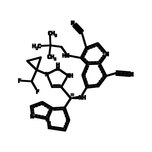 CC(C)(C)CNc1c(C#N)cnc2c(C#N)cc(N[C@H](C3=CN(C4(C(F)F)CC4)NN3)c3cccn4nccc34)cc12